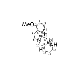 COc1cccc2c1CCN1C[C@@H]3CCCN[C@@H]3C[C@H]21